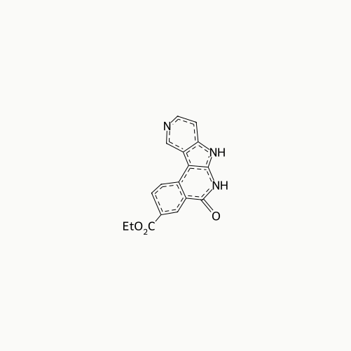 CCOC(=O)c1ccc2c(c1)c(=O)[nH]c1[nH]c3ccncc3c12